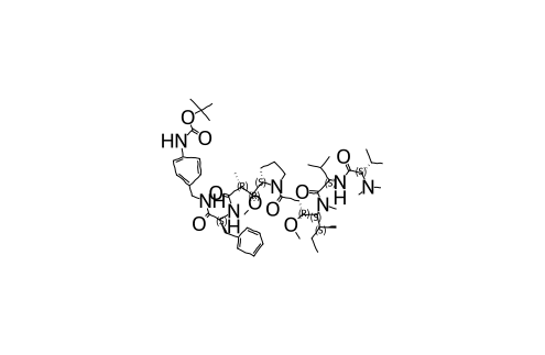 CC[C@H](C)[C@@H]([C@@H](CC(=O)N1CCC[C@H]1[C@H](OC)[C@@H](C)C(=O)N[C@@H](Cc1ccccc1)C(=O)NCc1ccc(NC(=O)OC(C)(C)C)cc1)OC)N(C)C(=O)[C@@H](NC(=O)[C@H](C(C)C)N(C)C)C(C)C